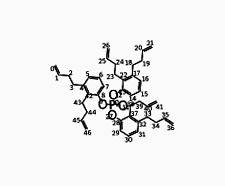 C=CCCc1cccc(OP(=O)(Oc2cccc(CCC=C)c2CCC=C)Oc2cccc(CCC=C)c2CCC=C)c1CCC=C